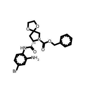 Nc1cc(Br)ccc1NC(=O)[C@@H]1CC2(CN1C(=O)OCc1ccccc1)OCCO2